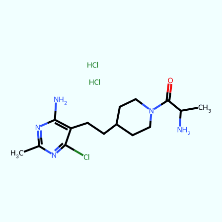 Cc1nc(N)c(CCC2CCN(C(=O)C(C)N)CC2)c(Cl)n1.Cl.Cl